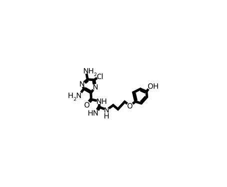 N=C(NCCCOc1ccc(O)cc1)NC(=O)c1nc(Cl)c(N)nc1N